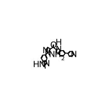 Cc1nc2cc(-n3ncc(C(=O)c4cc5ccc(-c6ccncc6)cc5[nH]4)c3N)ccc2[nH]1